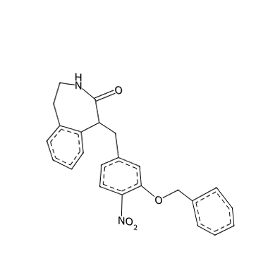 O=C1NCCc2ccccc2C1Cc1ccc([N+](=O)[O-])c(OCc2ccccc2)c1